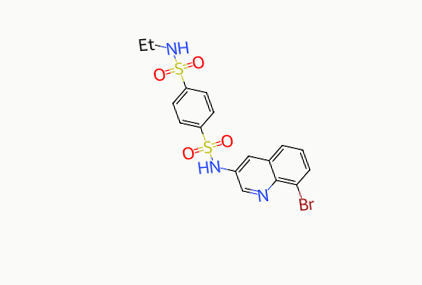 CCNS(=O)(=O)c1ccc(S(=O)(=O)Nc2cnc3c(Br)cccc3c2)cc1